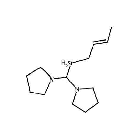 CC=CC[SiH2]C(N1CCCC1)N1CCCC1